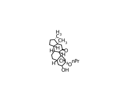 CCCO[C@H]1C[C@@]2(C)[C@@H](CC[C@H]3[C@@H]4CC[C@H](C)[C@@]4(C)CC(=O)[C@@H]32)C[C@@H]1O